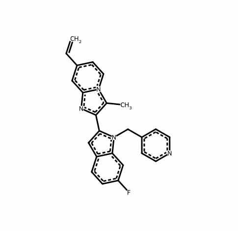 C=Cc1ccn2c(C)c(-c3cc4ccc(F)cc4n3Cc3ccncc3)nc2c1